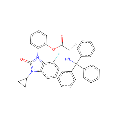 C[C@H](NC(c1ccccc1)(c1ccccc1)c1ccccc1)C(=O)Oc1ccccc1-n1c(=O)n(C2CC2)c2cccc(F)c21